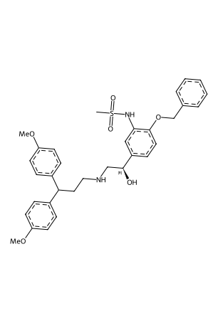 COc1ccc(C(CCNC[C@H](O)c2ccc(OCc3ccccc3)c(NS(C)(=O)=O)c2)c2ccc(OC)cc2)cc1